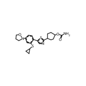 NC(=O)OC1CCC(c2ncc(-c3ccc(N4CCCO4)cc3SC3CC3)s2)CC1